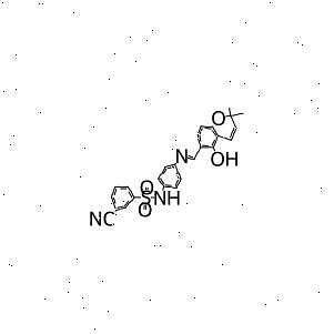 CC1(C)C=Cc2c(ccc(C=Nc3ccc(NS(=O)(=O)c4cccc(C#N)c4)cc3)c2O)O1